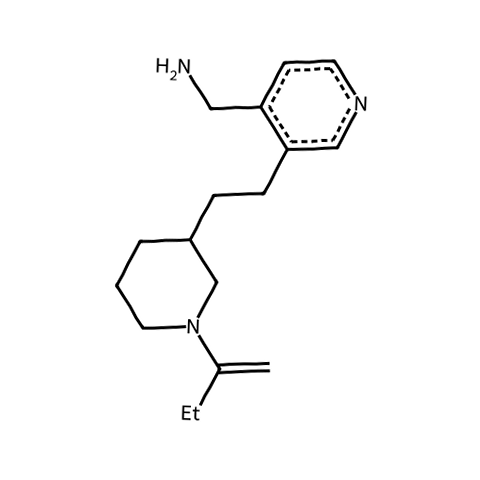 C=C(CC)N1CCCC(CCc2cnccc2CN)C1